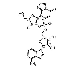 Nc1ncnc2c1ncn2[C@@H]1O[C@H](COP(=O)(S)O[C@@H]2[C@H](O)[C@@H](CO)O[C@H]2n2ccc(=O)n3ccnc23)[C@H](O)[C@H]1O